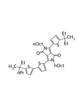 CCCCCCCCN1C(=O)C2=C(c3ccc(C(C)(CC)CC)s3)N(CCCCCCCC)C(=O)C2=C1c1ccc(-c2ccc(C(C)(CC)CCC)s2)s1